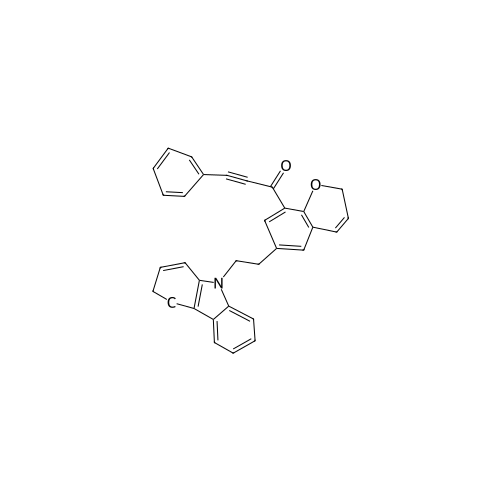 O=C(C#Cc1ccccc1)c1cc(CCn2c3c(c4ccccc42)CCC=C3)cc2c1OCC=C2